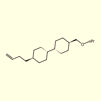 C=CCC[C@H]1CC[C@H]([C@H]2CC[C@H](COCCC)CC2)CC1